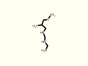 COCC(C)CNCNCN